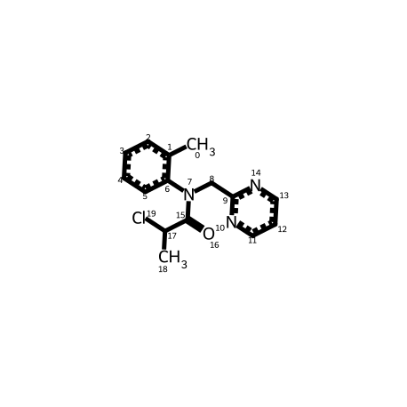 Cc1ccccc1N(Cc1ncccn1)C(=O)C(C)Cl